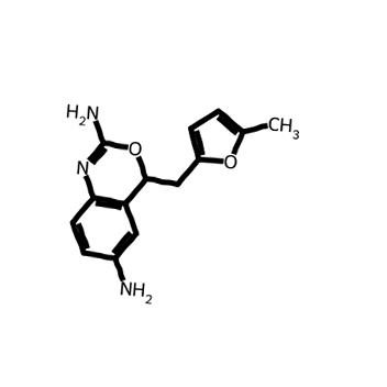 Cc1ccc(CC2OC(N)=Nc3ccc(N)cc32)o1